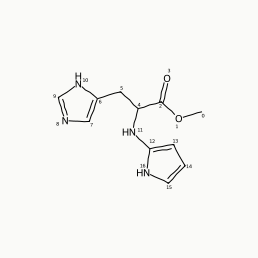 COC(=O)C(Cc1cnc[nH]1)Nc1ccc[nH]1